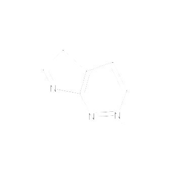 C1=Nc2nnccc2C1